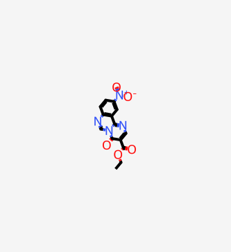 CCOC(=O)c1cnc2c3cc([N+](=O)[O-])ccc3ncn2c1=O